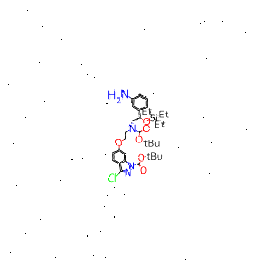 CC[Si](CC)(CC)OC(CN(CCOc1ccc2c(Cl)nn(C(=O)OC(C)(C)C)c2c1)C(=O)OC(C)(C)C)c1cccc(N)c1